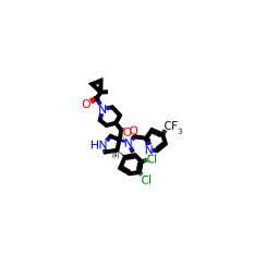 CN(C(=O)c1cc(C(F)(F)F)ccn1)[C@]1(C(=O)C2CCN(C(=O)C3(C)CC3)CC2)CNC[C@H]1c1ccc(Cl)c(Cl)c1